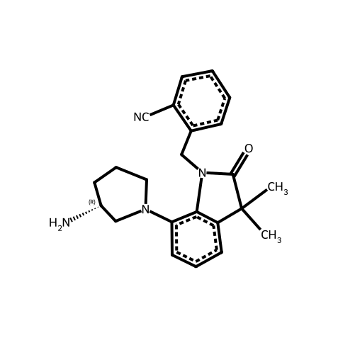 CC1(C)C(=O)N(Cc2ccccc2C#N)c2c(N3CCC[C@@H](N)C3)cccc21